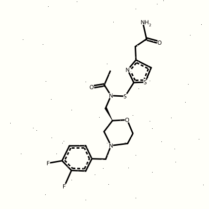 CC(=O)N(C[C@@H]1CN(Cc2ccc(F)c(F)c2)CCO1)Sc1nc(CC(N)=O)cs1